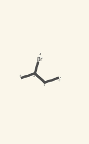 [CH2]CC(C)Br